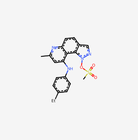 CCc1ccc(Nc2cc(C)nc3ccc4cnn(OS(C)(=O)=O)c4c23)cc1